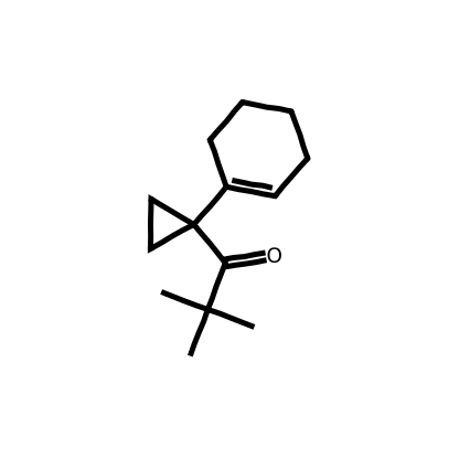 CC(C)(C)C(=O)C1(C2=CCCCC2)CC1